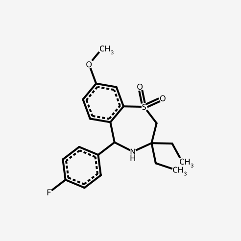 CCC1(CC)CS(=O)(=O)c2cc(OC)ccc2C(c2ccc(F)cc2)N1